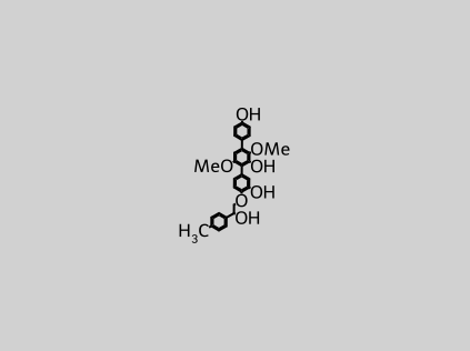 COc1cc(-c2ccc(O)cc2)c(OC)c(O)c1-c1ccc(OCC(O)c2ccc(C)cc2)c(O)c1